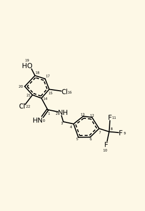 N=C(NCc1ccc(C(F)(F)F)cc1)c1c(Cl)cc(O)cc1Cl